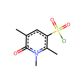 Cc1cc(S(=O)(=O)Cl)c(C)n(C)c1=O